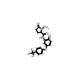 CN1C(=O)CCC1C(=O)Nc1cc(Oc2ccc(C(F)(F)F)cc2)ccc1Cl